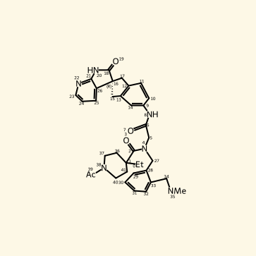 CCC1(C(=O)N(CC(=O)Nc2ccc3c(c2)C[C@@]2(C3)C(=O)Nc3ncccc32)Cc2ccccc2CNC)CCN(C(C)=O)CC1